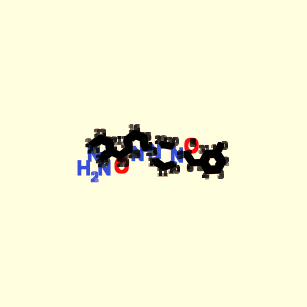 Cc1cccc(CC(=O)N2CCCN(c3cccc(C(=O)c4cccnc4N)n3)CC2)c1